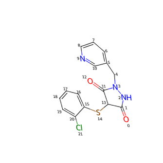 O=C1NN(Cc2cccnc2)C(=O)C1Sc1ccccc1Cl